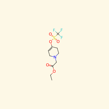 CCOC(=O)CN1CC=C(OS(=O)(=O)C(F)(F)F)CC1